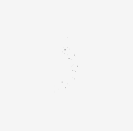 O=C(C(O)C(F)(F)F)N1CCN(Cc2ccc(-c3ccc4c(nnn4CC4CC4)c3Cl)cc2)CC1